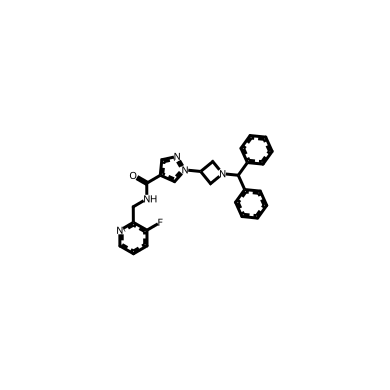 O=C(NCc1ncccc1F)c1cnn(C2CN(C(c3ccccc3)c3ccccc3)C2)c1